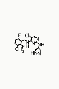 Cc1ccc(F)c(CNc2nc(Nc3cn[nH]c3)ncc2Cl)c1F